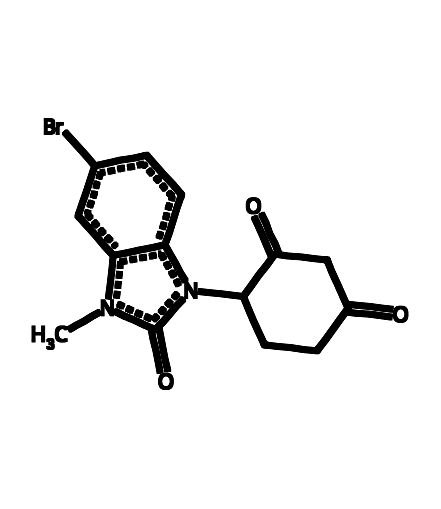 Cn1c(=O)n(C2CCC(=O)CC2=O)c2ccc(Br)cc21